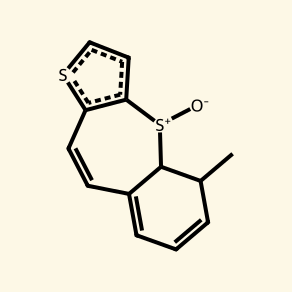 CC1C=CC=C2C=Cc3sccc3[S+]([O-])C21